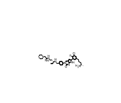 C=C[C@H](CCNC(=N)CN1CCSCC1)NCc1ccc(-n2cc3cc(-c4cc(CCC[C@H](C)N)cc(Cl)c4F)[nH]c3nc2=O)cc1